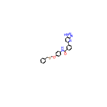 O=C(Nc1ccc(OCSCc2ccccc2)cc1)c1cccc(-c2ccc3[nH]nnc3n2)c1